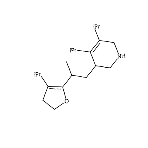 CC(C)C1=C(C(C)CC2CNCC(C(C)C)=C2C(C)C)OCC1